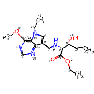 CCOC(=O)[C@H](NCc1cn(CC)c2c(OC)ncnc12)[C@H](O)CC